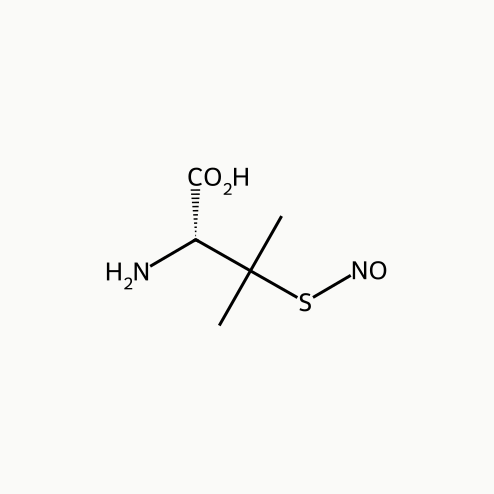 CC(C)(SN=O)[C@H](N)C(=O)O